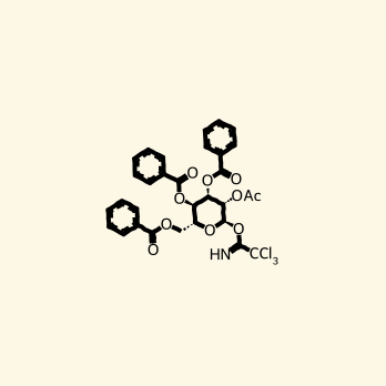 CC(=O)O[C@@H]1[C@@H](OC(=N)C(Cl)(Cl)Cl)O[C@H](COC(=O)c2ccccc2)[C@@H](OC(=O)c2ccccc2)[C@@H]1OC(=O)c1ccccc1